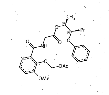 COc1ccnc(C(=O)NCC(=O)O[C@@H](C)[C@H](Oc2ccccc2)C(C)C)c1OCOC(C)=O